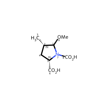 COC1[C@@H](C)C[C@@H](C(=O)O)N1C(=O)O